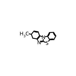 CC1C=Cc2c(nc3sc4ccccc4n23)C1